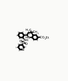 CCOC(=O)c1ccc2c(c1)C(C)(C)CC(c1ccccc1NS(=O)(=O)c1cccnc1)N2